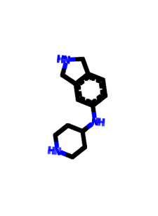 c1cc2c(cc1NC1CCNCC1)CNC2